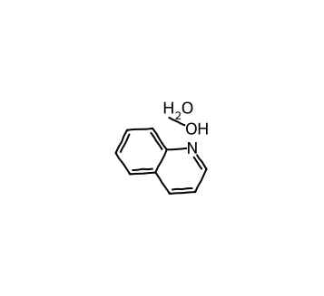 CO.O.c1ccc2ncccc2c1